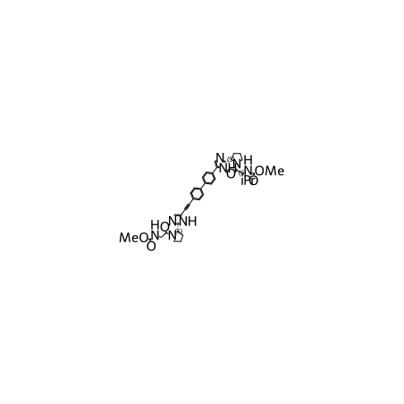 COC(=O)NCC(=O)N1CCC[C@H]1c1ncc(C#Cc2ccc(-c3ccc(-c4cnc([C@@H]5CCCN5C(=O)[C@@H](NC(=O)OC)C(C)C)[nH]4)cc3)cc2)[nH]1